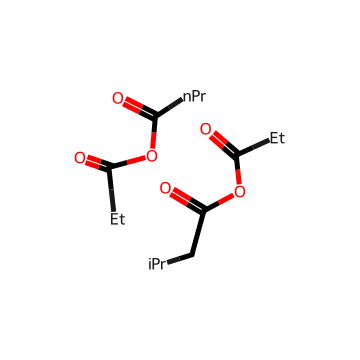 CCC(=O)OC(=O)CC(C)C.CCCC(=O)OC(=O)CC